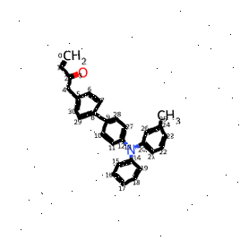 C=CC(=O)Cc1ccc(-c2ccc(N(c3ccccc3)c3cccc(C)c3)cc2)cc1